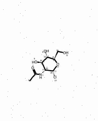 CC(=O)N[C@@H]1[C@@H](O)[C@H](O)[C@@H](CO)O[C@@H]1Cl